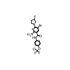 Nc1nc(N2CCC(F)C2)c(Br)cc1C(=O)Nc1ccc(OC(F)(F)Cl)cc1